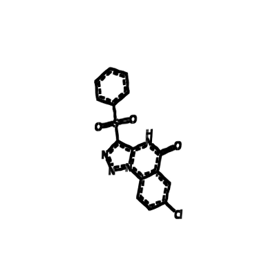 O=c1[nH]c2c(S(=O)(=O)c3ccccc3)nnn2c2ccc(Cl)cc12